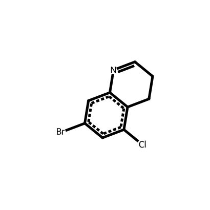 Clc1cc(Br)cc2c1CCC=N2